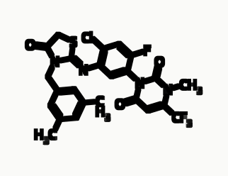 Cc1cc(C)cc(CN2C(=O)CSC2=Nc2cc(-n3c(=O)cc(C(F)(F)F)n(C)c3=O)c(F)cc2Cl)c1